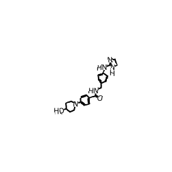 O=C(NCc1ccc(NC2=NCCN2)cc1)c1ccc(N2CCC(O)CC2)cc1